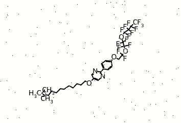 C[Si](C)(C)CCCCCCCCCCOc1cnc(-c2ccc(OCC(F)(F)OC(F)(F)C(F)(F)OC(F)(F)C(F)(F)C(F)(F)C(F)(F)F)cc2)nc1